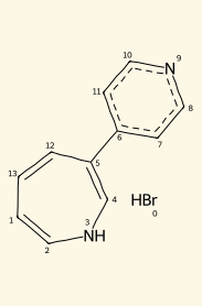 Br.C1=CNC=C(c2ccncc2)C=C1